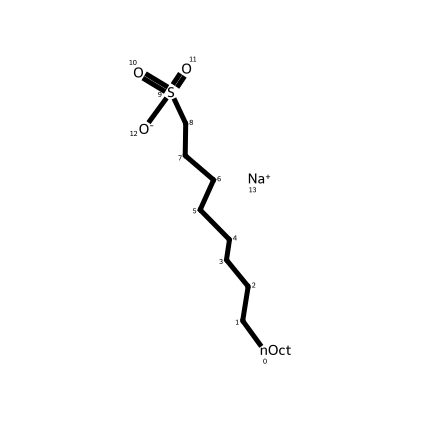 CCCCCCCCCCCCCCCCS(=O)(=O)[O-].[Na+]